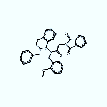 COc1ccccc1CN(C(=O)CN1C(=O)c2ccccc2C1=O)[C@@H]1c2ccccc2CC[C@H]1Cc1ccccc1